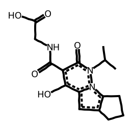 CC(C)n1c(=O)c(C(=O)NCC(=O)O)c(O)c2cc3c(n21)CCC3